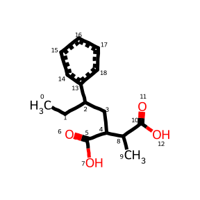 CCC(CC(C(=O)O)C(C)C(=O)O)c1ccccc1